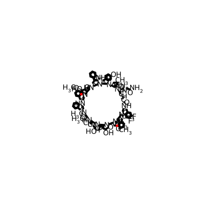 COCC[C@H]1C(=O)N2C[C@@H](O)C[C@@H]2C(=O)N[C@@H](CC(=O)O)C(=O)N[C@@H](C(C)C)C(=O)N(C)[C@H](Cc2ccccc2)C(=O)N[C@@H](Cc2ccc(OC)cc2)C(=O)N2C[C@@H](O)C[C@@H]2C(=O)N[C@@H](Cc2c[nH]c3ccccc23)C(=O)N[C@@H](Cc2ccc(O)cc2)C(=O)N[C@@H](CC(C)C)C(=O)N[C@H](C(=O)NCC(N)=O)CSCC(=O)N[C@@H](Cc2ccc(F)c(F)c2)C(=O)N(C)[C@@H](Cc2ccccc2)C(=O)N1C